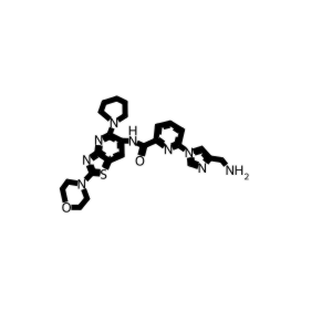 NCc1cn(-c2cccc(C(=O)Nc3cc4sc(N5CCOCC5)nc4nc3N3CCCCC3)n2)cn1